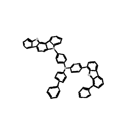 c1ccc(-c2ccc(N(c3ccc(-c4cccc5c4oc4c(-c6ccccc6)cccc45)cc3)c3ccc(-n4c5ccccc5c5c6oc7ccccc7c6ccc54)cc3)cc2)cc1